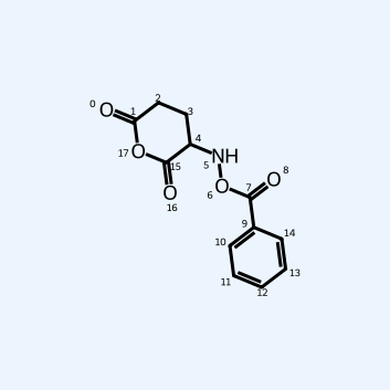 O=C1CCC(NOC(=O)c2ccccc2)C(=O)O1